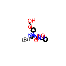 CC(C)(C)c1cc(NC(=O)NCc2ccccc2O)n(-c2cccc(OCCO)c2)n1